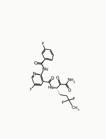 CC(F)(F)CC[C@H](NC(=O)c1cc(F)cnc1NC(=O)c1cccc(F)c1)C(=O)C(N)=O